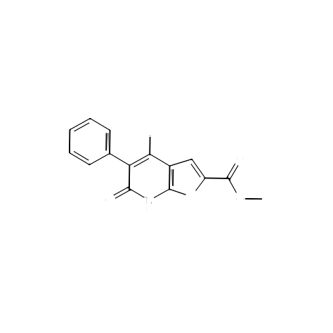 COC(=O)c1cc2c(O)c(-c3ccccc3)c(=O)[nH]c2o1